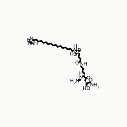 NCN[C@@H](CCCCNC(=O)CCCS(=O)(=O)NC(=O)CCCCCCCCCCCCCCCc1nnn[nH]1)C(=O)C[C@@H](CO)C(N)=O